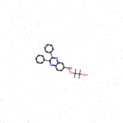 CC(C)(O)C(C)(C)OBc1ccc2nc(-c3ccccc3)c(-c3ccccc3)nc2c1